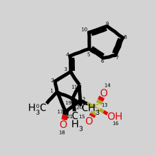 CC12CC(=Cc3ccccc3)C(C(S(=O)(=O)O)C1=O)C2(C)C